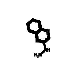 NNc1cnc2ccccc2n1